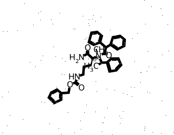 CC(c1ccccc1)[N@@+](C)(C(=O)C(c1ccccc1)c1ccccc1)[C@@H](CCCNC(=O)OCc1ccccc1)C(N)=O